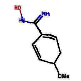 COC1C=CC(C(=N)NO)=CC1